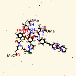 COC(=O)CCCN(CCC(=O)OC)C(=O)Cc1cc(C)cc(OP(=O)(O)O)c1C(C)(C)CC(=O)O[C@@H](CN(Cc1c(F)cc(-c2ccn(C(F)F)n2)cc1F)NC(=O)[C@@H](NC(=O)OC)C(C)(C)C(F)(F)F)[C@H](Cc1ccc(C#Cc2cnc(N3CC4CCC(C3)N4C3COC3)nc2)cc1)NC(=O)[C@@H](NC(=O)OC)C(C)(C)C(F)(F)F